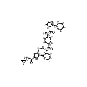 O=C(NC1CC1)c1cc2c(s1)-c1ccccc1N(C(=O)c1ccc(NC(=O)c3ccnn3-c3ccccc3)cc1)CC2